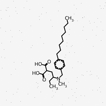 CCCCCCCCCc1ccc(CN(C)C(CC)CC(C(=O)O)C(=O)O)cc1